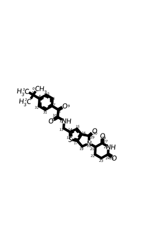 CC(C)(C)c1ccc(C(=O)C(=O)NCc2cc3c(s2)CN(C2CCC(=O)NC2=O)C3=O)cc1